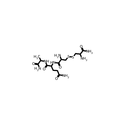 CC(NC(=O)C(CCC(N)=O)NC(=O)C(N)CSSCC(N)C(N)=O)C(N)=O